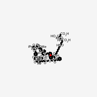 CC[C@H](C)[C@@H]([C@@H](CC(=O)N1CCC[C@H]1[C@H](OC)[C@@H](C)C(=O)N[C@@H](Cc1ccccc1)C(=O)O)OC)N(C)C(=O)[C@@H](NC(=O)[C@H](C(C)C)N(C)C(=O)OCc1ccc(NC(=O)[C@H](C)NC(=O)[C@@H](NC(=O)C(CCC(=O)NCCOCCNC(=O)[C@H](Cc2ccccc2)NC(=O)[C@H](Cc2ccccc2)NC(=O)CCCCCCCNC(=O)CC[C@H](NC(=O)N[C@@H](CCC(=O)O)C(=O)O)C(=O)O)NC(=O)CON)C(C)C)cc1)C(C)C